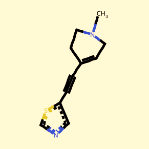 CN1CC=C(C#Cc2cncs2)CC1